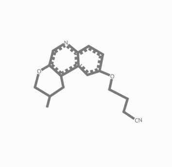 CC1COc2cnc3ccc(OCCCC#N)cc3c2C1